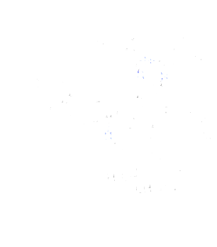 CC1(C)c2ccccc2-c2cc3c(-c4cc(-c5ccccc5)cc(-c5nc(-c6ccccc6)nc(-c6ccccc6)n5)c4)cc(-c4ccc(-c5ccccc5)cc4)nc3cc21